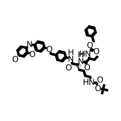 CCC(NC(=O)OCc1ccccc1)C(=O)N[C@@H](CCCCNC(=O)OC(C)(C)C)C(=O)Nc1ccc(COc2ccc3nc4ccc(=O)cc-4oc3c2)cc1